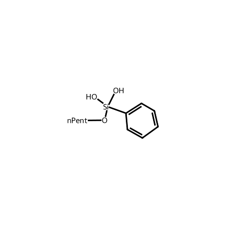 CCCCCO[Si](O)(O)c1ccccc1